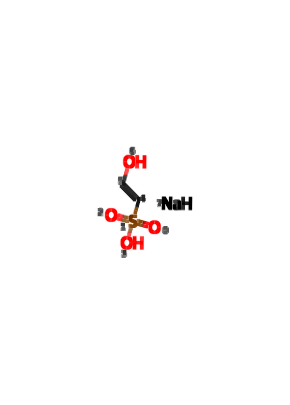 O=S(=O)(O)C=CO.[NaH]